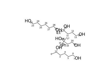 CC(O)CCCCO.CCC(O)CCCO.CCCC(C)(O)CCO.OCCCCCCO